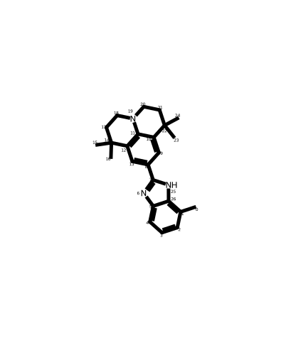 Cc1cccc2nc(-c3cc4c5c(c3)C(C)(C)CCN5CCC4(C)C)[nH]c12